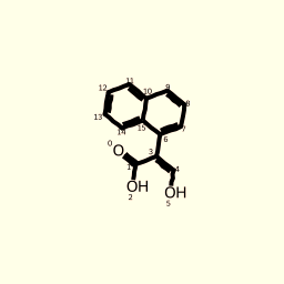 O=C(O)C(=CO)c1cccc2ccccc12